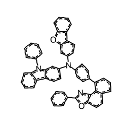 c1ccc(-c2nc3c(ccc4cccc(-c5ccc(N(c6ccc7c(c6)oc6ccccc67)c6ccc7c8ccccc8n(-c8ccccc8)c7c6)cc5)c43)o2)cc1